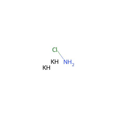 NCl.[KH].[KH]